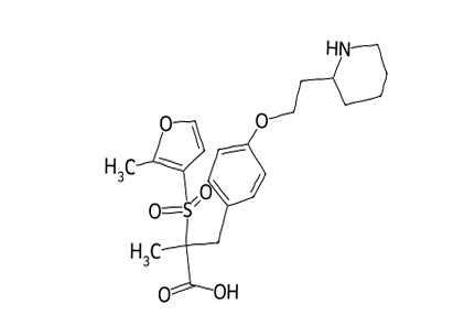 Cc1occc1S(=O)(=O)C(C)(Cc1ccc(OCCC2CCCCN2)cc1)C(=O)O